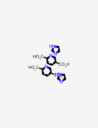 O=C(O)c1ccc(C(=O)O)nc1.O=C(O)c1ccc(C(=O)O)nc1.c1c[nH]cn1.c1c[nH]cn1